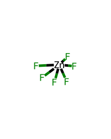 [F][Zn]([F])([F])([F])([F])[F]